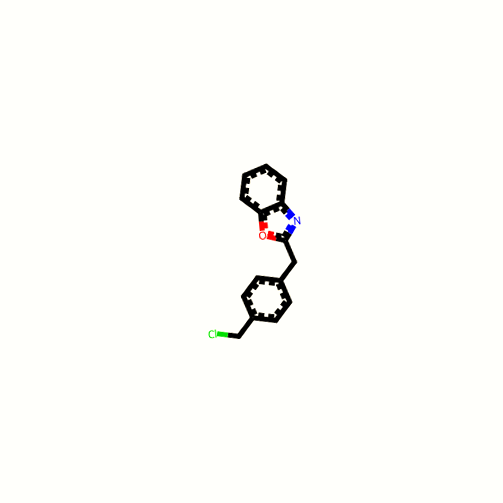 ClCc1ccc(Cc2nc3ccccc3o2)cc1